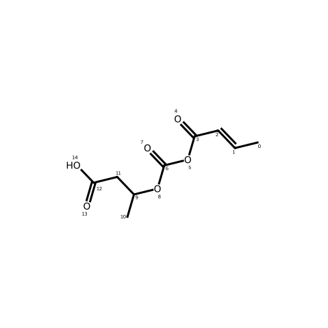 CC=CC(=O)OC(=O)OC(C)CC(=O)O